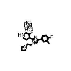 Cc1cc(-c2cn(CCN3CCC3)c(C3CCNCC3F)n2)ccc1F.Cl.Cl.Cl.Cl